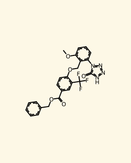 COc1cccc(-n2nn[nH]c2=O)c1COc1ccc(C(=O)OCc2ccccc2)cc1C(F)(F)F